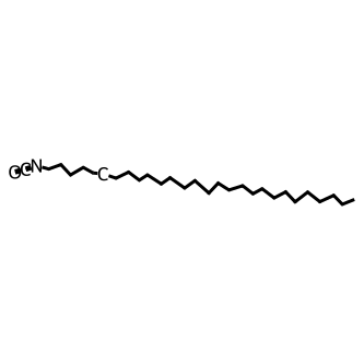 CCCCCCCCCCCCCCCCCCCCCCCCCCCCN=C=O